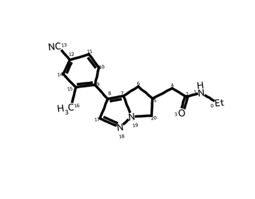 CCNC(=O)CC1Cc2c(-c3ccc(C#N)cc3C)cnn2C1